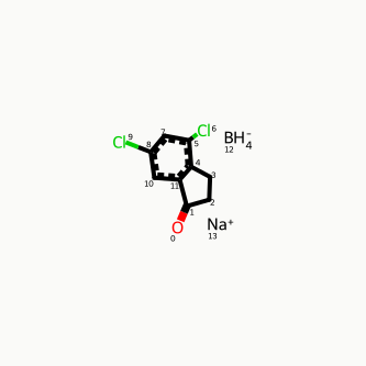 O=C1CCc2c(Cl)cc(Cl)cc21.[BH4-].[Na+]